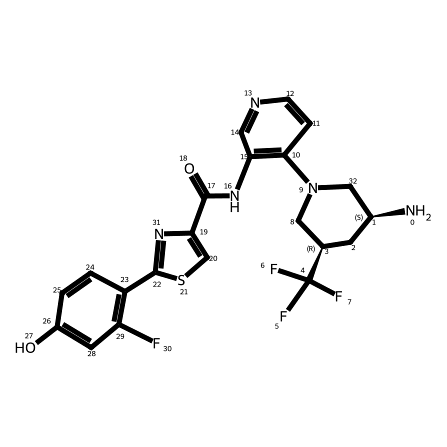 N[C@H]1C[C@@H](C(F)(F)F)CN(c2ccncc2NC(=O)c2csc(-c3ccc(O)cc3F)n2)C1